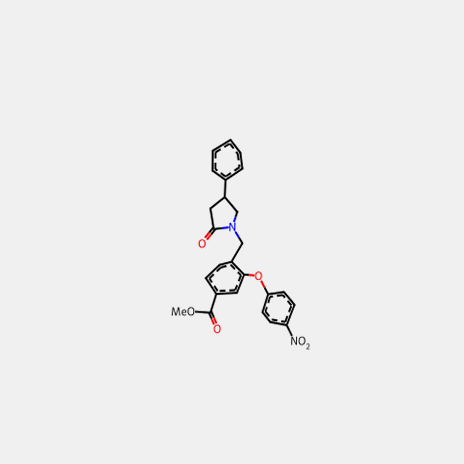 COC(=O)c1ccc(CN2CC(c3ccccc3)CC2=O)c(Oc2ccc([N+](=O)[O-])cc2)c1